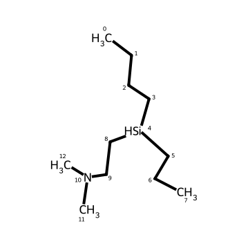 CCCC[SiH](CCC)CCN(C)C